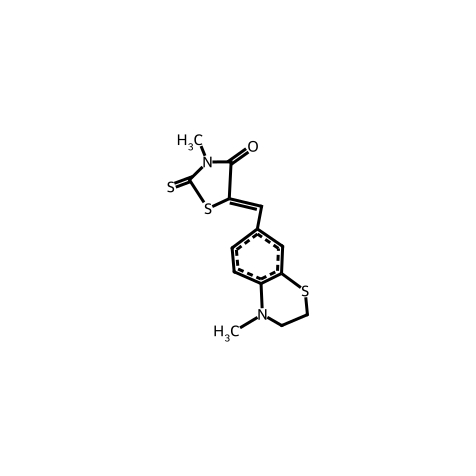 CN1C(=O)/C(=C/c2ccc3c(c2)SCCN3C)SC1=S